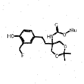 CC(C)(C)OC(=O)NC1(CCc2ccc(O)c(CF)c2)COC(C)(C)OC1